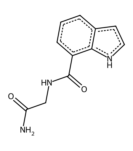 NC(=O)CNC(=O)c1cccc2cc[nH]c12